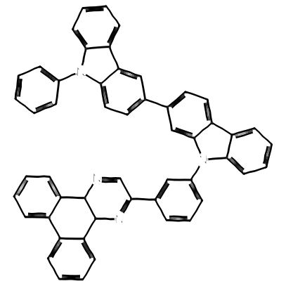 C1=NC2c3ccccc3-c3ccccc3C2N=C1c1cccc(-n2c3ccccc3c3ccc(-c4ccc5c(c4)c4ccccc4n5-c4ccccc4)cc32)c1